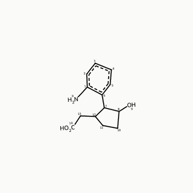 Nc1ccccc1C1C(O)CCC1CC(=O)O